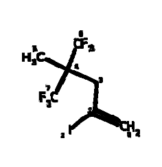 C=C(I)CC(C)(C(F)(F)F)C(F)(F)F